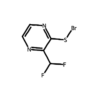 FC(F)c1nccnc1SBr